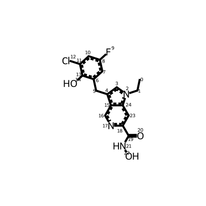 CCn1cc(Cc2cc(F)cc(Cl)c2O)c2cnc(C(=O)NO)cc21